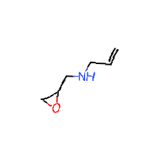 C=CCNCC1CO1